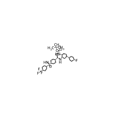 CC(C)(C)OC(=O)Nc1ccc(-c2ccc(F)cc2)cc1NC(=O)c1ccc(S(=N)(=O)c2ccc(C(F)(F)F)cc2)cc1